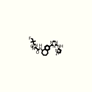 Cn1ccc(Nc2ncnc(-c3ccc4c(c3)CCCCC4NC(=O)c3noc(C(C)(C)CF)n3)n2)n1